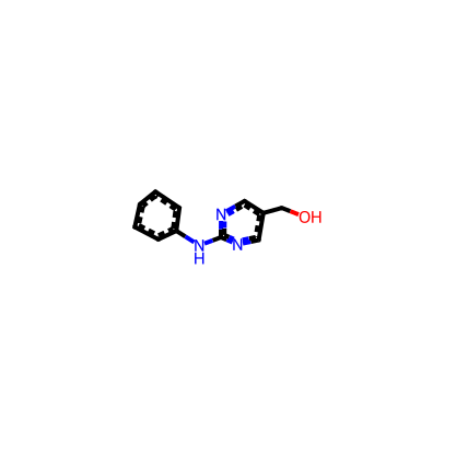 OCc1cnc(Nc2ccccc2)nc1